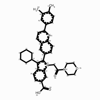 Cc1ccc(-c2ccc3cc(-c4c(C5CCCCC5)c5ccc(C(=O)O)cc5n4CC(=O)N4CCOCC4)ccc3n2)cc1C